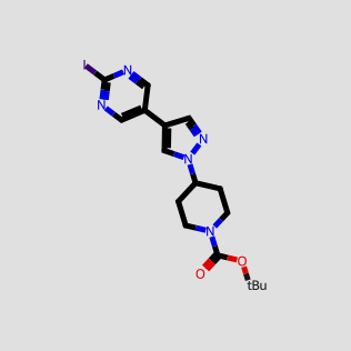 CC(C)(C)OC(=O)N1CCC(n2cc(-c3cnc(I)nc3)cn2)CC1